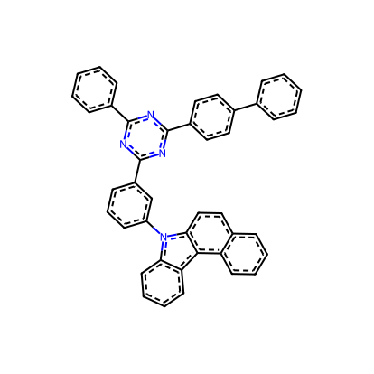 c1ccc(-c2ccc(-c3nc(-c4ccccc4)nc(-c4cccc(-n5c6ccccc6c6c7ccccc7ccc65)c4)n3)cc2)cc1